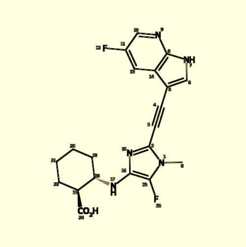 Cn1c(C#Cc2c[nH]c3ncc(F)cc23)nc(N[C@H]2CCCC[C@@H]2C(=O)O)c1F